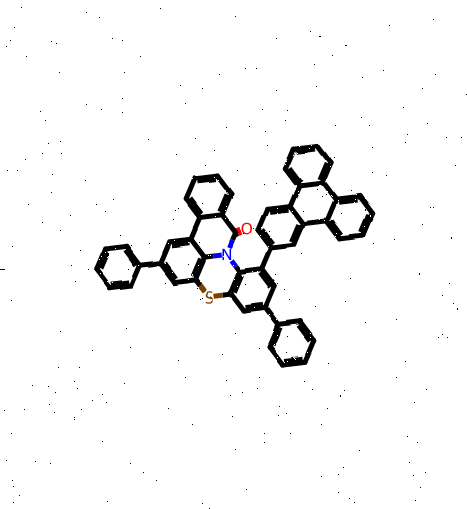 O=c1c2ccccc2c2cc(-c3ccccc3)cc3c2n1-c1c(cc(-c2ccccc2)cc1-c1ccc2c4ccccc4c4ccccc4c2c1)S3